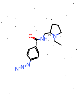 CCN1CCC[C@@H]1CNC(=O)c1ccc(N=[N+]=[N-])cc1